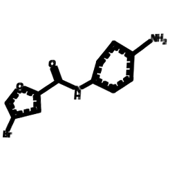 Nc1ccc(NC(=O)c2cc(Br)co2)cc1